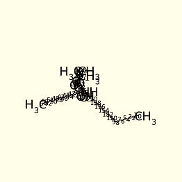 CCCCCCCC/C=C\CCCCCCCCCCCCCC(=O)N[C@@H](COP(=O)([O-])OCC[N+](C)(C)C)[C@H](O)/C=C/CCCCCCCCCCCC